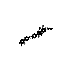 CCCCOc1ccc(-c2ccc(C3=CCC(OCC4CC=C(c5ccc(C)c(F)c5F)CC4)CC3)c(F)c2F)c(F)c1F